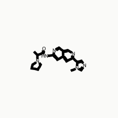 CC(C(=O)Nc1cc2cc(-c3cncn3C)ncc2cn1)N1CCCC1